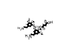 COc1cc(CCN)cc(OC)c1OC.COc1cc(CCN)cc(OC)c1OC.O=C(O)/C=C/C(=O)O